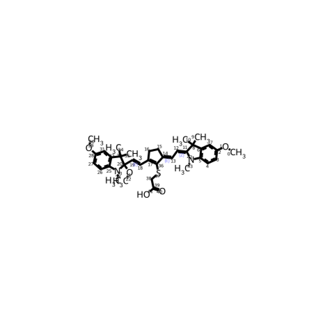 COc1ccc2c(c1)C(C)(C)/C(=C/C=C1\CCC(/C=C/C3(OC)N(C)c4ccc(OC)cc4C3(C)C)=C1SCC(=O)O)N2C